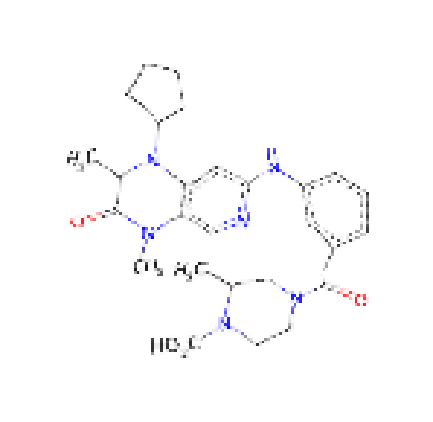 CC1CN(C(=O)c2cccc(Nc3cc4c(cn3)N(C)C(=O)C(C)N4C3CCCC3)c2)CCN1C(=O)O